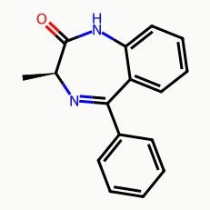 C[C@@H]1N=C(c2ccccc2)c2ccccc2NC1=O